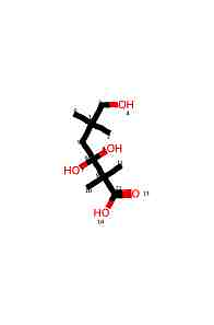 CC(C)(CO)CC(O)(O)C(C)(C)C(=O)O